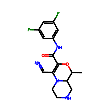 CC1OC(C(=O)Nc2cc(F)cc(F)c2)=C(C=N)N2CCNCC12